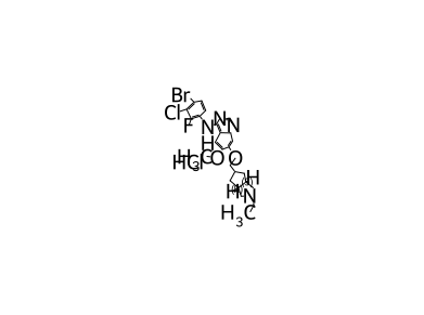 CCN1C[C@H]2CC(COc3cc4ncnc(Nc5ccc(Br)c(Cl)c5F)c4cc3OC)C[C@H]2C1.Cl